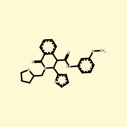 COc1cccc(NC(=O)C2c3ccccc3C(=O)N(CC3CCCO3)C2c2cccs2)c1